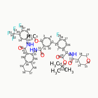 COc1ccc(-c2cc(C(NC(=O)C3CCOCC3)C(=O)OC(C)(C)C)ccc2F)cc1C(=O)Nc1cc2c(cc1C(=O)Nc1ccc(F)c(C(F)(F)F)c1)CCCC2